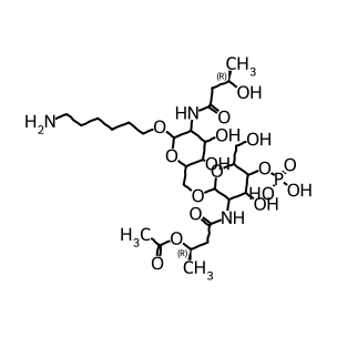 CC(=O)O[C@H](C)CC(=O)NC1C(OCC2OC(OCCCCCCN)C(NC(=O)C[C@@H](C)O)C(O)C2O)OC(CO)C(OP(=O)(O)O)C1O